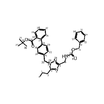 CCCc1nc(CNC(=O)OCc2ccccc2)nn1Cc1ccc(-c2ccccc2C(=O)OC(C)(C)C)cc1